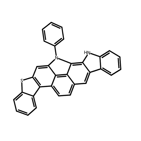 c1ccc(-n2c3cc4sc5ccccc5c4c4ccc5cc6c7ccccc7[nH]c6c2c5c43)cc1